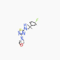 CC(C)(CNc1nc(N2CCOCC2)ns1)c1ccc(F)cc1